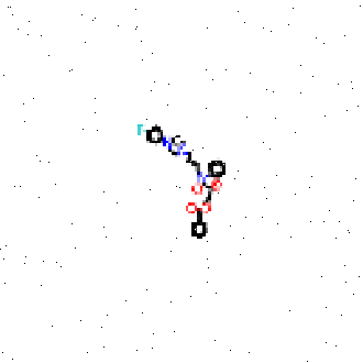 O=C(OCCC1Oc2ccccc2N(CCCCN2CCN(c3ccc(F)cc3)CC2)C1=O)c1ccccc1